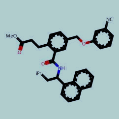 [C-]#[N+]c1cccc(OCc2ccc(CCC(=O)OC)c(C(=O)NC(CC(C)C)c3cccc4ccccc34)c2)c1